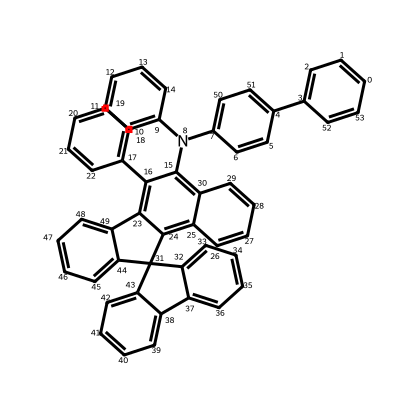 c1ccc(-c2ccc(N(c3ccccc3)c3c(-c4ccccc4)c4c(c5ccccc35)C3(c5ccccc5-c5ccccc53)c3ccccc3-4)cc2)cc1